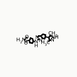 Cc1n[nH]c(C)c1-c1ccc2cnc(Nc3ccc(S(N)(=O)=O)cc3)nc2c1